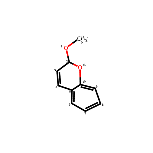 [CH2]OC1C=Cc2ccccc2O1